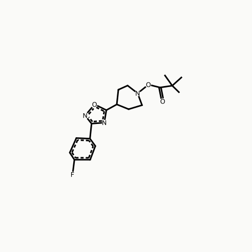 CC(C)(C)C(=O)ON1CCC(c2nc(-c3ccc(F)cc3)no2)CC1